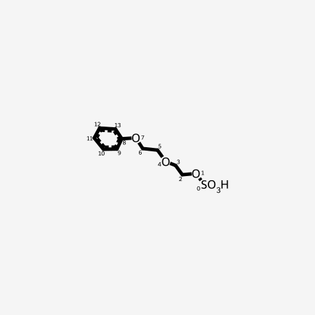 O=S(=O)(O)OCCOCCOc1ccccc1